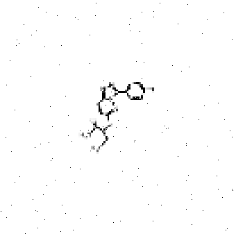 CCC(Sc1ccc2nnc(-c3ccc(F)cc3)n2n1)C(N)=O